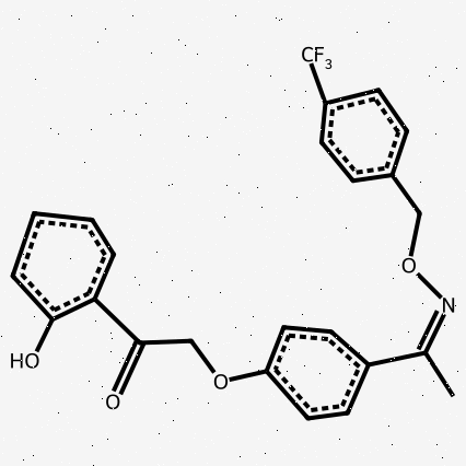 CC(=NOCc1ccc(C(F)(F)F)cc1)c1ccc(OCC(=O)c2ccccc2O)cc1